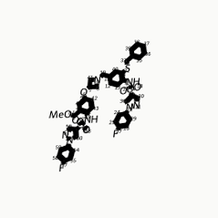 COC(=O)c1cc(OC2CN(Cc3ccc(NS(=O)(=O)c4cnn(-c5ccc(F)cc5)c4)c(SCc4ccccc4)c3)C2)ccc1NS(=O)(=O)c1cnn(-c2ccc(F)cc2)c1